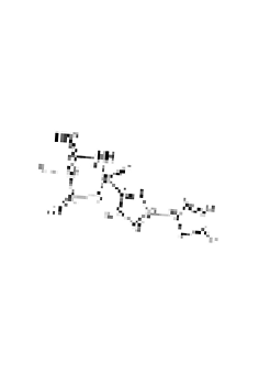 CN1C(=N)N[C@](C)(c2cc(C3C=CSC3)cs2)CC1=O